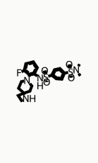 CN(C)S(=O)(=O)c1ccc(S(=O)(=O)Nc2cccc(F)c2N2CCC3(CCN3)CC2)cc1